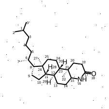 CC(C)CCC[C@@H](C)[C@H]1CC[C@H]2[C@@H]3CCC4NC(=O)CC[C@]4(C)[C@H]3CC[C@]12C